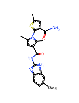 COc1ccc2nc(NC(=O)c3cc(C)n(-c4sc(C)cc4C(N)=O)c3C)[nH]c2c1